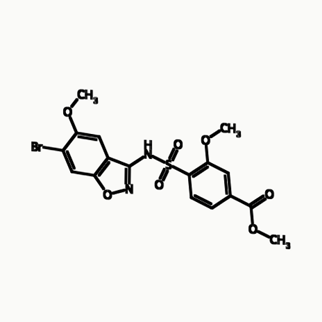 COC(=O)c1ccc(S(=O)(=O)Nc2noc3cc(Br)c(OC)cc23)c(OC)c1